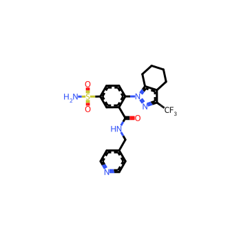 NS(=O)(=O)c1ccc(-n2nc(C(F)(F)F)c3c2CCCC3)c(C(=O)NCc2ccncc2)c1